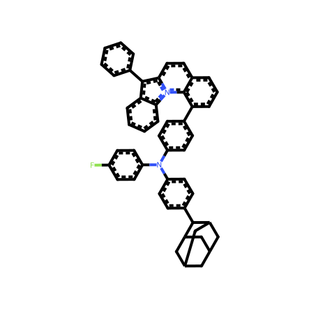 Fc1ccc(N(c2ccc(-c3cccc4ccc5c(-c6ccccc6)c6ccccc6n5c34)cc2)c2ccc(C3C4CC5CC(C4)CC3C5)cc2)cc1